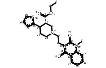 CCOC(=O)[C@@H]1CN(CCn2c(=O)c3ccccc3n(C)c2=O)CCC1c1cccs1